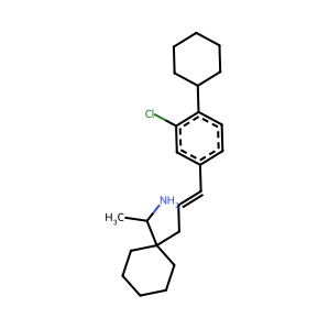 CC(N)C1(CC=Cc2ccc(C3CCCCC3)c(Cl)c2)CCCCC1